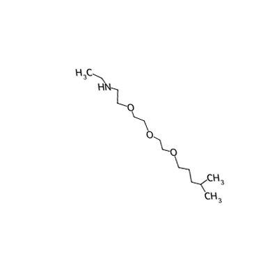 CCNCCOCCOCCOCCCC(C)C